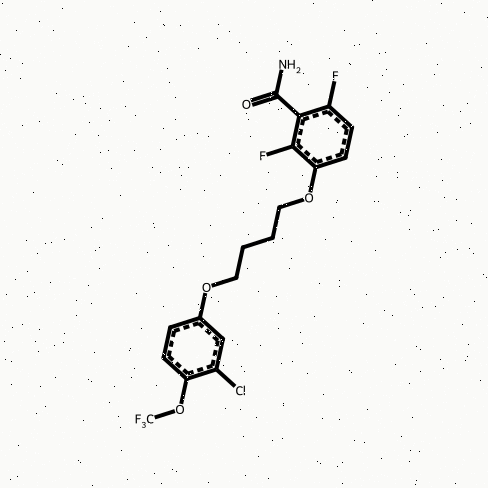 NC(=O)c1c(F)ccc(OCCCCOc2ccc(OC(F)(F)F)c(Cl)c2)c1F